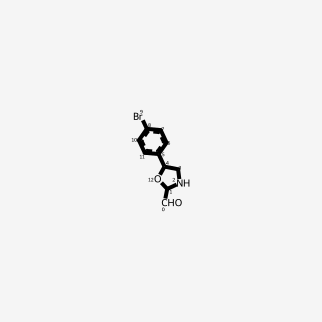 O=CC1NCC(c2ccc(Br)cc2)O1